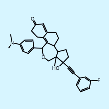 CN(C)c1ccc(C2OCC3(C)C(CCC3(O)C#Cc3cccc(F)c3)C3CCC4=CC(=O)CCC4=C23)cc1